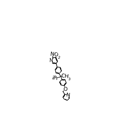 CC(C)C(C)(c1ccc(OCc2ccccn2)cc1)c1ccc(-c2ccc([N+](=O)[O-])nc2)cc1